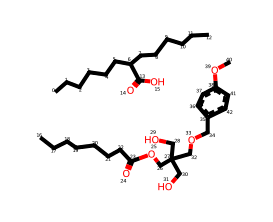 CCCCCCC(CCCCCC)C(=O)O.CCCCCCCC(=O)OCC(CO)(CO)COCc1ccc(OC)cc1